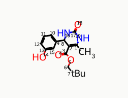 CC1=C(C(=O)OCC(C)(C)C)C(c2cccc(O)c2)NC(=O)N1